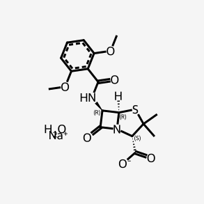 COc1cccc(OC)c1C(=O)N[C@@H]1C(=O)N2[C@@H]1SC(C)(C)[C@@H]2C(=O)[O-].O.[Na+]